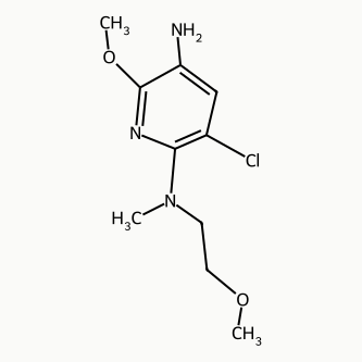 COCCN(C)c1nc(OC)c(N)cc1Cl